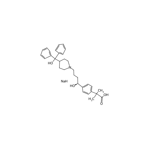 CC(C)(C(=O)O)c1ccc([C@@H](O)CCCN2CCC(C(O)(c3ccccc3)c3ccccc3)CC2)cc1.[NaH]